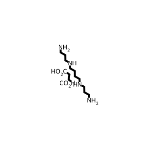 NCCCNCCCCNCCCN.O=C(O)CCC(=O)O